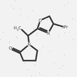 CC(C)C1COC(C(C)N2CCCC2=O)=N1